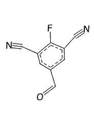 N#Cc1cc(C=O)cc(C#N)c1F